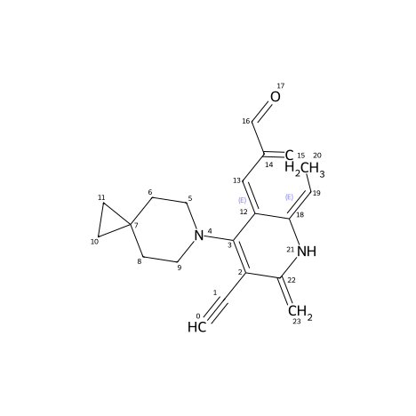 C#CC1=C(N2CCC3(CC2)CC3)C(=C/C(=C)C=O)/C(=C\C)NC1=C